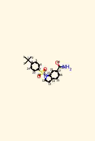 CC(C)(C)c1ccc(S(=O)(=O)n2ccc3ccc(C(N)=O)cc32)cc1